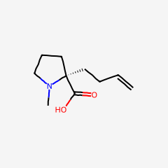 C=CCC[C@@]1(C(=O)O)CCCN1C